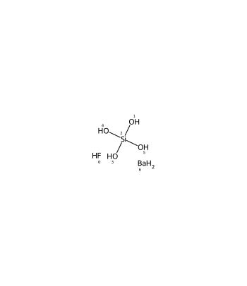 F.O[Si](O)(O)O.[BaH2]